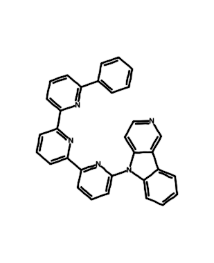 c1ccc(-c2cccc(-c3cccc(-c4cccc(-n5c6ccccc6c6cnccc65)n4)n3)n2)cc1